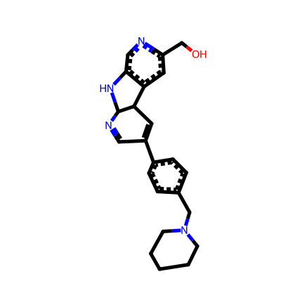 OCc1cc2c(cn1)NC1N=CC(c3ccc(CN4CCCCC4)cc3)=CC21